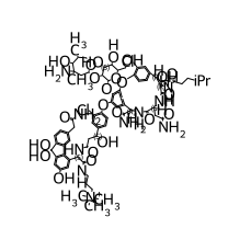 CC(C)CCC(=O)N[C@H]1C(=O)N[C@@H](CC(N)=O)C(=O)N[C@@H](C(N)=O)c2cc(c(OC3OC(CO)C(O)[C@H](O)C3OC3CC(C)(N)C(O)C(C)CO3)c(Oc3ccc([C@@H](O)CC(=O)N[C@H](C(=O)NCCC[N+](C)(C)C)c4cc(O)cc5c4-c4cc(CC(N)=O)ccc4C5(O)O)cc3Cl)c2)Oc2ccc(cc2Cl)[C@H]1O